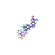 CC(C)C(=O)N1CCCCC1CCNc1nc(Nc2ccc3c(c2)CC(=O)N3)ncc1C(F)(F)F